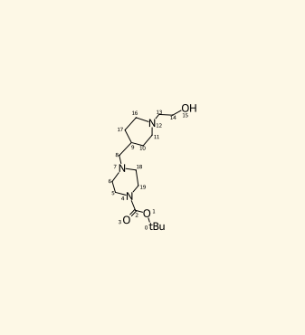 CC(C)(C)OC(=O)N1CCN(CC2CCN(CCO)CC2)CC1